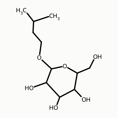 CC(C)CCOC1OC(CO)C(O)C(O)C1O